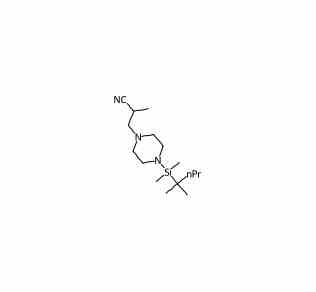 CCCC(C)(C)[Si](C)(C)N1CCN(CC(C)C#N)CC1